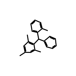 Cc1cc(C)c(C(c2ccccc2)c2ccccc2C)c(C)c1